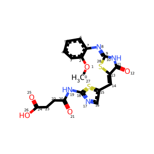 COc1ccccc1N=C1NC(=O)C(=Cc2cnc(NC(=O)CCC(=O)O)s2)S1